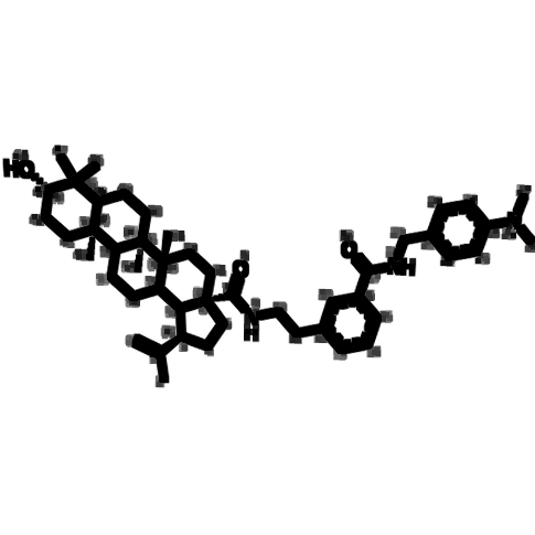 C=C(C)[C@@H]1CC[C@]2(C(=O)NCCc3cccc(C(=O)NCc4ccc(N(C)C)cc4)c3)CC[C@]3(C)C(CCC4[C@@]5(C)CC[C@H](O)C(C)(C)C5CC[C@]43C)C12